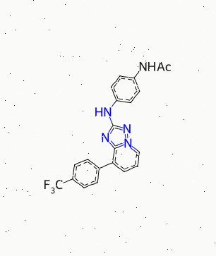 CC(=O)Nc1ccc(Nc2nc3c(-c4ccc(C(F)(F)F)cc4)cccn3n2)cc1